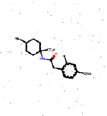 COc1ccc(CC(=O)NC2(C(=O)O)CCC(C(C)(C)C)CC2)c(C)c1